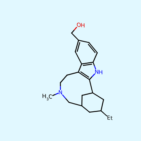 CCC1CC2CC(C1)c1[nH]c3ccc(CO)cc3c1CCN(C)C2